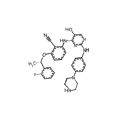 C[C@H](Oc1cccc(Nc2nc(Nc3ccc(N4CCNCC4)cc3)ncc2O)c1C#N)c1ccccc1F